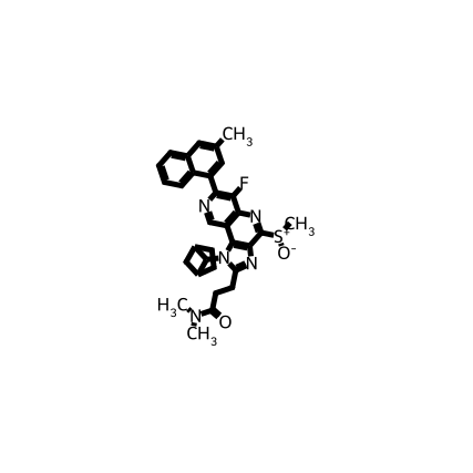 Cc1cc(-c2ncc3c(nc([S+](C)[O-])c4nc(CCC(=O)N(C)C)n(C5C6CCC5C6)c43)c2F)c2ccccc2c1